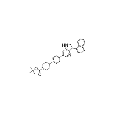 CC(C)(C)OC(=O)N1CCC(c2ccc(C3=CN4NCC(c5ccnc6ccccc56)=C4N=C3)cc2)CC1